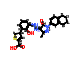 CC1=NN(c2ccc3c(c2)CCCC3)C(=O)/C1=N\Nc1cccc(C2C=C(C(=O)O)SC2)c1O